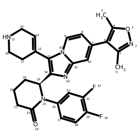 Cc1noc(C)c1-c1ccn2c(C3=CCNCC3)c([C@@H]3CCCC(=O)N3c3ccc(F)c(F)c3)nc2c1